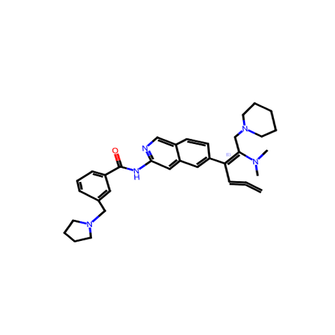 C=C=C/C(=C(/CN1CCCCC1)N(C)C)c1ccc2cnc(NC(=O)c3cccc(CN4CCCC4)c3)cc2c1